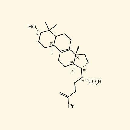 C=C(CC[C@@H](C(=O)O)[C@H]1CC[C@@]2(C)C3=C(CC[C@]12C)[C@@]1(C)CC[C@H](O)C(C)(C)C1CC3)C(C)C